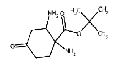 CC(C)(C)OC(=O)C1(N)CCC(=O)CC1N